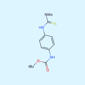 CNC(=S)Nc1ccc(NC(=O)OC(C)(C)C)cc1